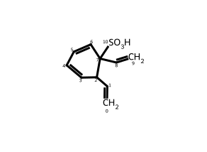 C=CC1C=CC=CC1(C=C)S(=O)(=O)O